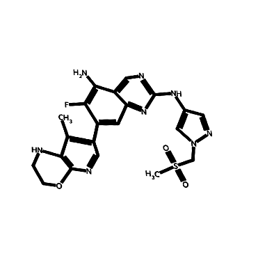 Cc1c(-c2cc3nc(Nc4cnn(CS(C)(=O)=O)c4)ncc3c(N)c2F)cnc2c1NCCO2